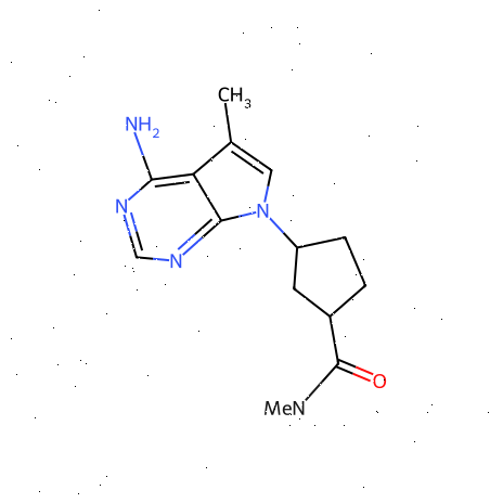 CNC(=O)C1CCC(n2cc(C)c3c(N)ncnc32)C1